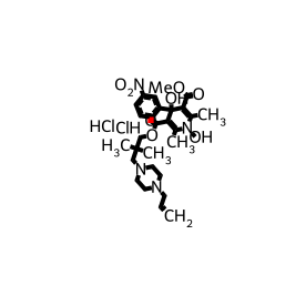 C=CCN1CCN(CC(C)(C)COC(=O)C2=C(C)N(O)C(C)=C(C(=O)OC)C2(O)c2cccc([N+](=O)[O-])c2)CC1.Cl.Cl